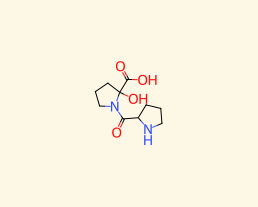 O=C(C1CCCN1)N1CCCC1(O)C(=O)O